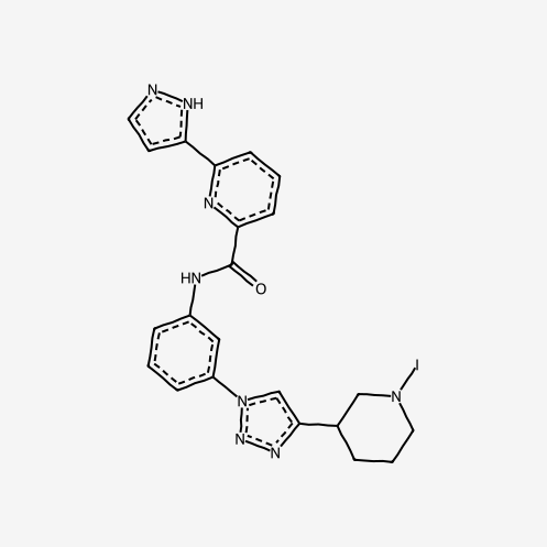 O=C(Nc1cccc(-n2cc(C3CCCN(I)C3)nn2)c1)c1cccc(-c2ccn[nH]2)n1